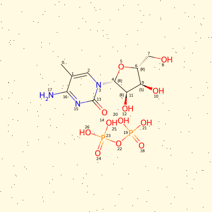 Cc1cn([C@@H]2O[C@H](CO)[C@@H](O)[C@H]2O)c(=O)nc1N.O=P(O)(O)OP(=O)(O)O